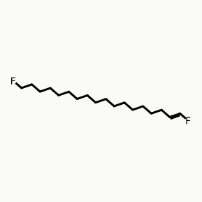 FC=CCCCCCCCCCCCCCCCCF